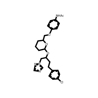 CC(=O)Nc1ccc(OCC2CCCC(OC(CCc3ccc(Cl)cc3)Cn3cncn3)O2)cc1